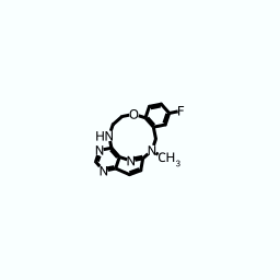 CN1Cc2cc(F)ccc2OCCNc2ncnc3ccc1nc23